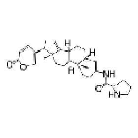 C[C@]12CC[C@H](NC(=O)C3CCCN3)C[C@H]1CC[C@H]1C3=CC[C@H](c4ccc(=O)oc4)[C@@]3(C)CC[C@@H]12